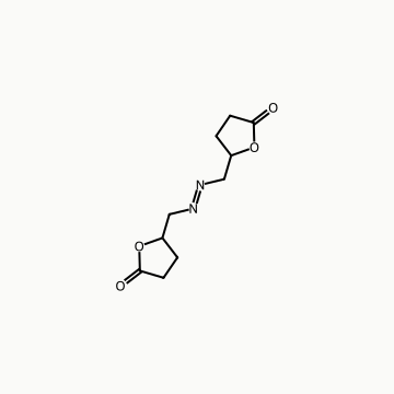 O=C1CCC(CN=NCC2CCC(=O)O2)O1